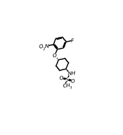 CS(=O)(=O)N[C@H]1CC[C@H](Oc2cc(F)ccc2[N+](=O)[O-])CC1